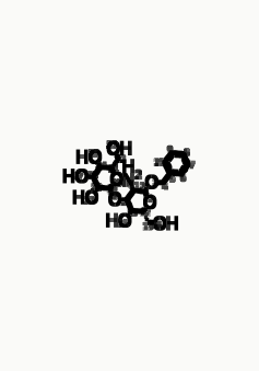 N[C@H]1[C@@H](OCc2ccccc2)O[C@H](CO)[C@@H](O)[C@@H]1O[C@@H]1O[C@H](CO)[C@H](O)[C@H](O)[C@H]1O